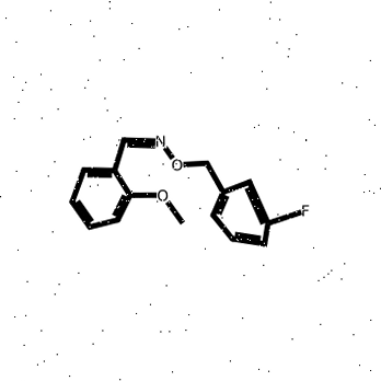 COc1ccccc1/[C]=N\OCc1cccc(F)c1